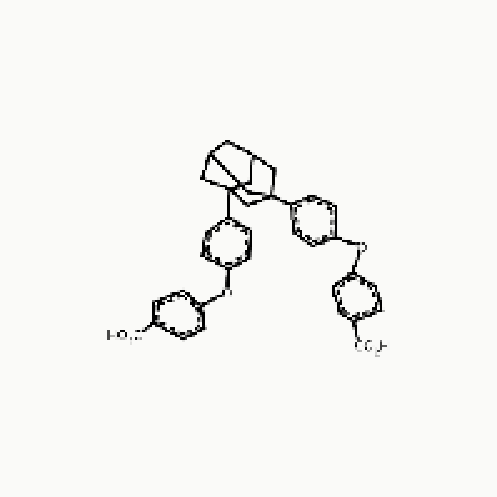 O=C(O)c1ccc(Oc2ccc(C34CC5CC(C3)CC(c3ccc(Oc6ccc(C(=O)O)cc6)cc3)(C5)C4)cc2)cc1